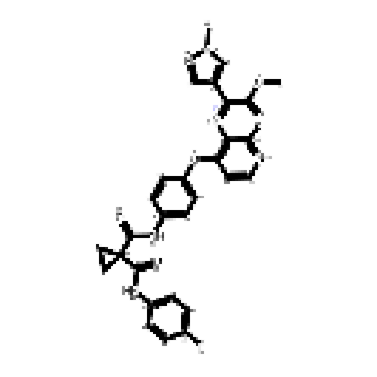 C=C(OC)/C(=N\c1c(Oc2ccc(NC(=O)C3(C(=O)Nc4ccc(F)cc4)CC3)cc2)ccnc1C)c1cnn(C)c1